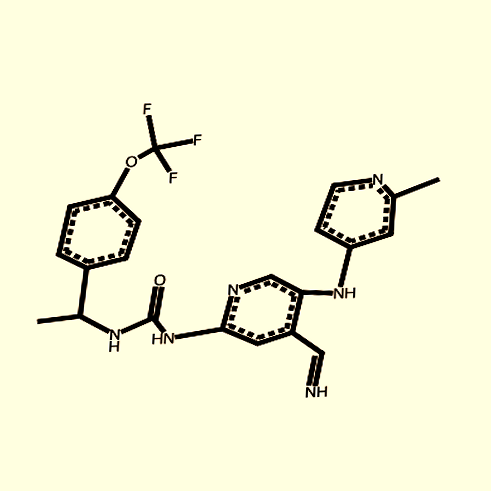 Cc1cc(Nc2cnc(NC(=O)NC(C)c3ccc(OC(F)(F)F)cc3)cc2C=N)ccn1